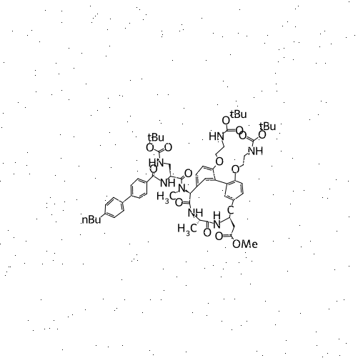 CCCCc1ccc(-c2ccc(C(=O)N[C@@H](CNC(=O)OC(C)(C)C)C(=O)N(C)[C@@H]3C(=O)N[C@@H](C)C(=O)N[C@H](CC(=O)OC)Cc4ccc(OCCNC(=O)OC(C)(C)C)c(c4)-c4cc3ccc4OCCNC(=O)OC(C)(C)C)cc2)cc1